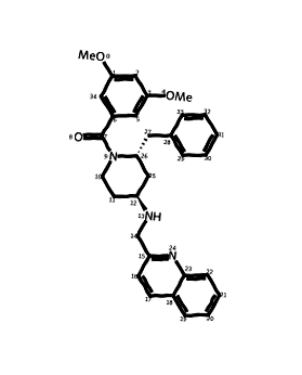 COc1cc(OC)cc(C(=O)N2CC[C@H](NCc3ccc4ccccc4n3)C[C@H]2Cc2ccccc2)c1